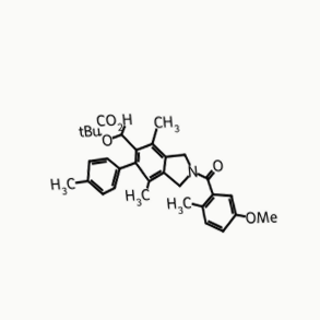 COc1ccc(C)c(C(=O)N2Cc3c(C)c(-c4ccc(C)cc4)c(C(OC(C)(C)C)C(=O)O)c(C)c3C2)c1